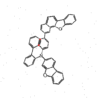 c1ccc(-c2ccccc2N(c2ccc(-c3ccc4ccc5c6ccccc6oc5c4c3)cc2)c2ccc3c(c2)oc2ccccc23)cc1